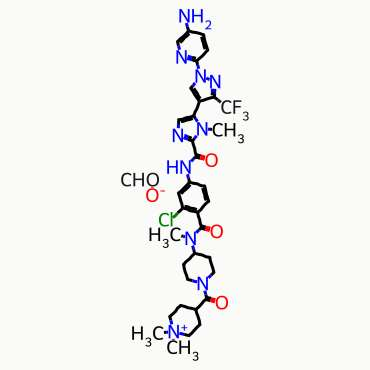 CN(C(=O)c1ccc(NC(=O)c2ncc(-c3cn(-c4ccc(N)cn4)nc3C(F)(F)F)n2C)cc1Cl)C1CCN(C(=O)C2CC[N+](C)(C)CC2)CC1.O=C[O-]